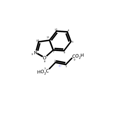 O=C(O)/C=C/C(=O)O.c1ccc2oncc2c1